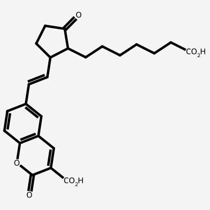 O=C(O)CCCCCCC1C(=O)CCC1C=Cc1ccc2oc(=O)c(C(=O)O)cc2c1